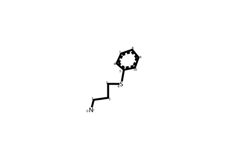 [N]CCCSc1ccccc1